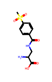 CS(=O)(=O)c1ccc(C(=O)NCC(N)C(=O)O)cc1